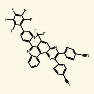 N#Cc1ccc(-c2nc3cc(C(F)(F)F)c4c(-c5ccc(-c6c(F)c(F)c(F)c(F)c6F)cc5)nc5ccccc5c4c3nc2-c2ccc(C#N)cc2)cc1